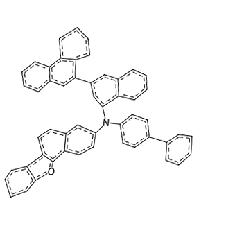 c1ccc(-c2ccc(N(c3ccc4c(ccc5c6ccccc6oc45)c3)c3cc(-c4cc5ccccc5c5ccccc45)cc4ccccc34)cc2)cc1